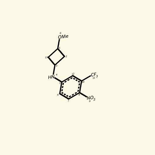 COC1CC(Nc2ccc([N+](=O)[O-])c(C(F)(F)F)c2)C1